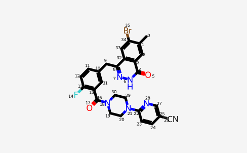 Cc1cc2c(=O)[nH]nc(Cc3ccc(F)c(C(=O)N4CCN(c5ccc(C#N)cn5)CC4)c3)c2cc1Br